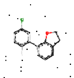 Cc1ccc(Cl)cc1-c1cccc2c1O[CH]C2